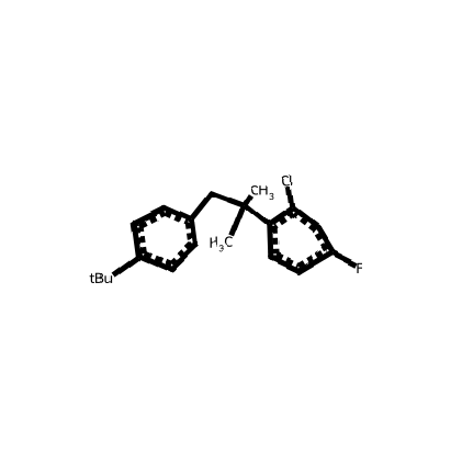 CC(C)(C)c1ccc(CC(C)(C)c2ccc(F)cc2Cl)cc1